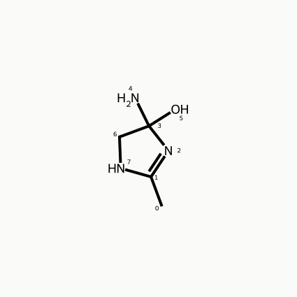 CC1=NC(N)(O)CN1